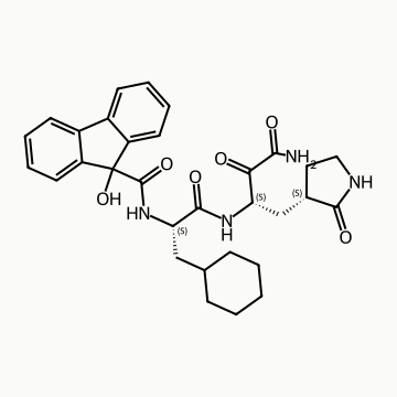 NC(=O)C(=O)[C@H](C[C@@H]1CCNC1=O)NC(=O)[C@H](CC1CCCCC1)NC(=O)C1(O)c2ccccc2-c2ccccc21